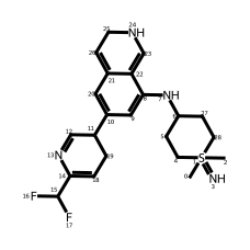 CS1(C)(=N)CCC(Nc2cc(C3C=NC(C(F)F)=CC3)cc3c2=CNCC=3)CC1